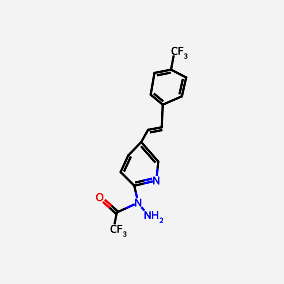 NN(C(=O)C(F)(F)F)c1ccc(C=Cc2ccc(C(F)(F)F)cc2)cn1